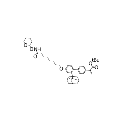 C=C(C(=O)OC(C)(C)C)c1ccc(-c2ccc(OCCCCCCCC(=O)NOC3CCCCO3)cc2C23CC4CC(CC(C4)C2)C3)cc1